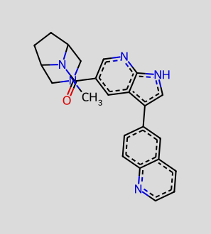 CN1CC2CCC(C1)N2C(=O)c1cnc2[nH]cc(-c3ccc4ncccc4c3)c2c1